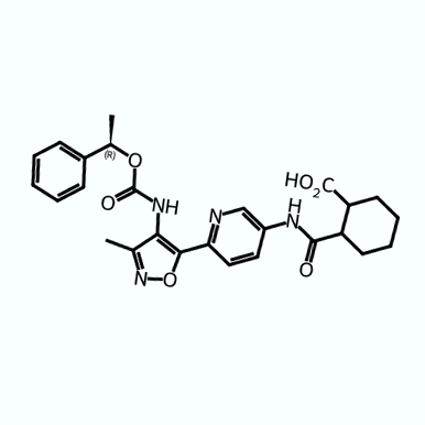 Cc1noc(-c2ccc(NC(=O)C3CCCCC3C(=O)O)cn2)c1NC(=O)O[C@H](C)c1ccccc1